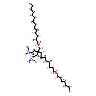 CCCCCCCCCCCCCCOCC(CCCCCCCCOCCCCCCC)(CCN(C)C)CCN(C)C